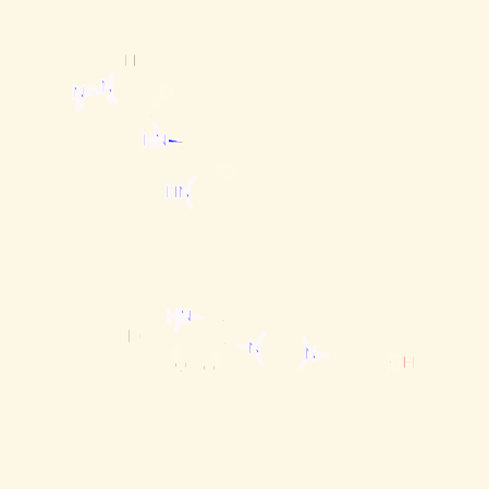 CCC(=O)N[C@H](Cc1ccc(NC(=O)[C@@H](NC(=O)c2ccnn2C)C2CCCCC2)cc1)C(=O)N1CCN(Cc2ccccc2O)CC1